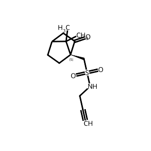 C#CCNS(=O)(=O)C[C@]12CCC(CC1=O)C2(C)C